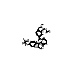 CN1Cc2ccc(C(=O)NC3(c4ccc(OC(F)(F)F)cc4)CCOc4cccnc43)cc2N1OC=O